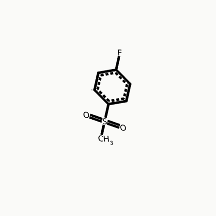 CS(=O)(=O)c1[c]cc(F)cc1